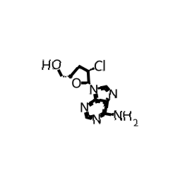 Nc1ncnc2c1ncn2[C@@H]1O[C@H](CO)C[C@H]1Cl